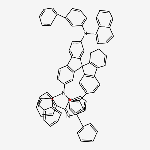 C1=CC2=C(CC1)C1(c3cc(-c4nc(-c5ccccc5)nc(-c5ccccc5)n4)ccc32)c2cc(N(c3ccccc3)c3cccc4ccccc34)ccc2-c2ccc(N(c3cccc(-c4ccccc4)c3)c3cccc4ccccc34)cc21